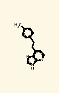 Cc1ccc(CCc2ccnc3[nH][c]nc23)cc1